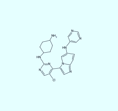 NC1CCC(Nc2ncc(Cl)c(-c3cnc4ccc(Nc5cncnc5)cn34)n2)CC1